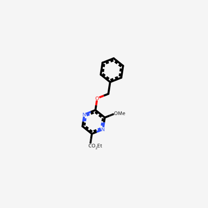 CCOC(=O)c1cnc(OCc2ccccc2)c(OC)n1